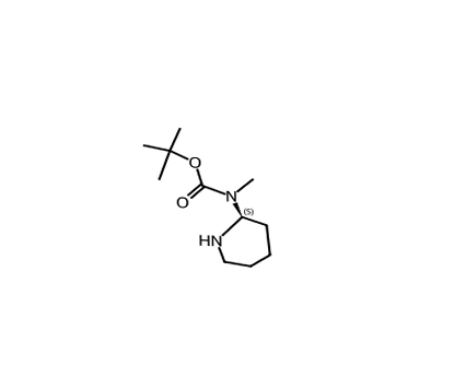 CN(C(=O)OC(C)(C)C)[C@H]1CCCCN1